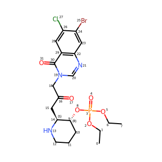 CCOP(=O)(OCC)O[C@@H]1CCCN[C@H]1CC(=O)Cn1cnc2cc(Br)c(Cl)cc2c1=O